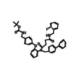 CC(C)(C)OC(=O)NCc1ccc(Oc2ccccc2N(Cc2ccc(-c3ccccc3)cc2)C(=O)CCC(=O)NCc2ccccc2F)cc1